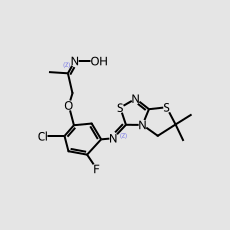 C/C(COc1cc(/N=c2\snc3n2CC(C)(C)S3)c(F)cc1Cl)=N/O